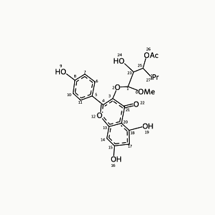 COC(Oc1c(-c2ccc(O)cc2)oc2cc(O)cc(O)c2c1=O)C(O)C(OC(C)=O)C(C)C